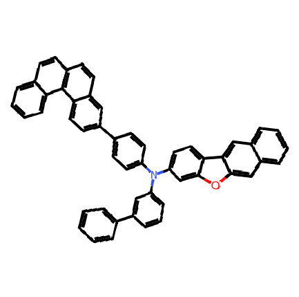 c1ccc(-c2cccc(N(c3ccc(-c4ccc5c(ccc6ccc7ccccc7c65)c4)cc3)c3ccc4c(c3)oc3cc5ccccc5cc34)c2)cc1